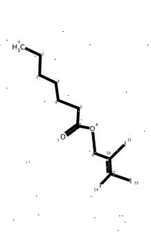 CCCCCCC(=O)OCC(I)=C(I)I